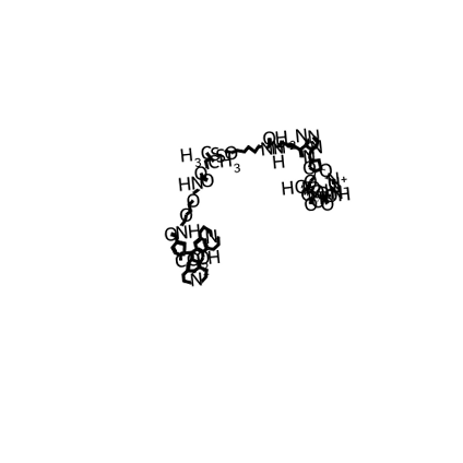 CC(C)(CCOC(=O)NCCOCCOCCNC(=O)c1ccc(C(=O)O)c(C2=c3cc4c5c(c3Oc3c2cc2c6c3CCCN6CCC2)CCC[N+]=5CCC4)c1)SSCOCCCCCNC(=O)NCC#Cc1cn(C2C[C@H](OCN=[N+]=[N-])[C@@H](COP(=O)(O)OP(=O)(O)OP(=O)(O)O)O2)c2ncnc(N)c12